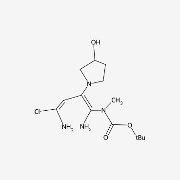 CN(C(=O)OC(C)(C)C)/C(N)=C(/C=C(\N)Cl)N1CCC(O)C1